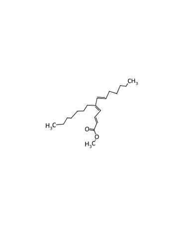 CCCCCC=CC(=CC=CC(=O)OC)CCCCCCC